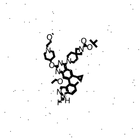 CCOc1c(-c2c(C)ccc3c2cnn3PI)c(C2CC2)cc2c(N3CCC4(CC3)CN(C(=O)OC(C)(C)C)C4)nc(OC3CCN(CCOC)CC3)nc12